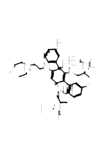 CCN(CC)C(C)CNC1=C(c2cc(F)ccc2F)C(F)(NCC(C)N(CC)CC)[C]=C(NCCN2CCOCC2)C1(F)c1cccc(F)c1